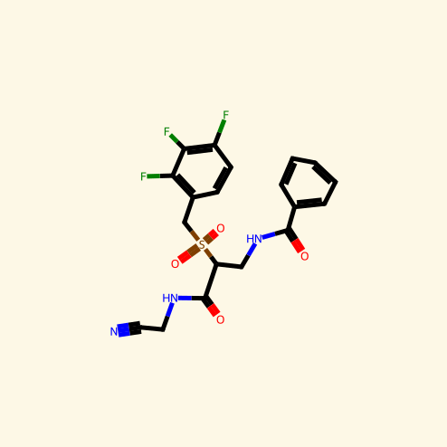 N#CCNC(=O)C(CNC(=O)c1ccccc1)S(=O)(=O)Cc1ccc(F)c(F)c1F